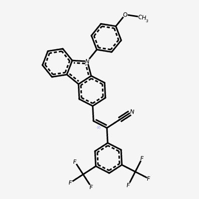 COc1ccc(-n2c3ccccc3c3cc(/C=C(\C#N)c4cc(C(F)(F)F)cc(C(F)(F)F)c4)ccc32)cc1